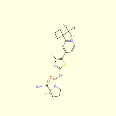 [2H]C([2H])([2H])C1(c2cc(-c3sc(NC(=O)N4CCC[C@@]4(C)C(N)=O)nc3C)ccn2)CCC1